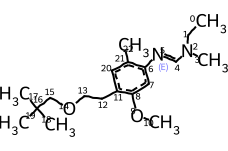 CCN(C)/C=N/c1cc(OC)c(CCOCC(C)(C)C)cc1C